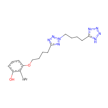 CCCc1c(O)[c]ccc1OCCCCc1nnn(CCCCc2nnn[nH]2)n1